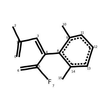 C=C(C)/C=C(\C(=C)F)c1c(C)cccc1C